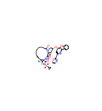 O=C1N[C@]2(C(=O)NS(=O)(=O)C3CC3)C[C@H]2/C=C\CCCCCCC(=O)N2C[C@H](Oc3cc(-c4nccs4)nc4c3oc3ccccc34)C[C@@H]12